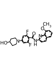 COc1cccc2ccc(NC(=O)c3c(F)cc(N4CCC(O)CC4)cc3F)nc12